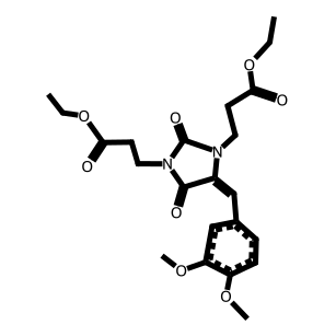 CCOC(=O)CCN1C(=O)C(=Cc2ccc(OC)c(OC)c2)N(CCC(=O)OCC)C1=O